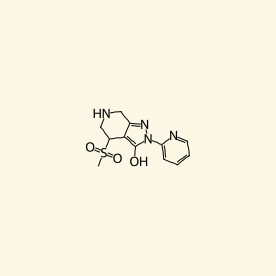 CS(=O)(=O)C1CNCc2nn(-c3ccccn3)c(O)c21